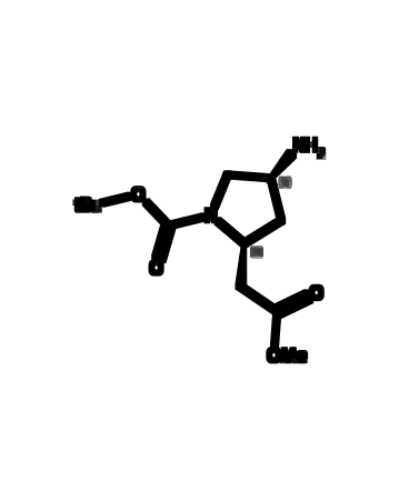 COC(=O)C[C@@H]1C[C@H](N)CN1C(=O)OC(C)(C)C